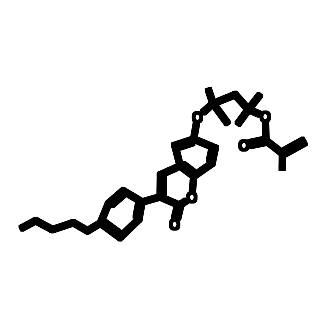 C=C(C)C(=O)OC(C)(C)CC(C)(C)Oc1ccc2oc(=O)c(-c3ccc(CCCCC)cc3)cc2c1